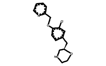 Clc1cc(C[C@@H]2CNCCO2)ccc1OCc1ccccn1